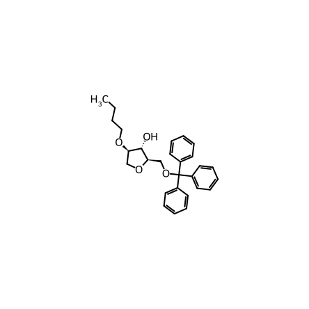 CCCCO[C@@H]1CO[C@H](COC(c2ccccc2)(c2ccccc2)c2ccccc2)[C@H]1O